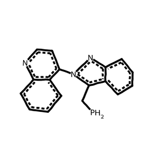 PCc1c2ccccc2nn1-c1ccnc2ccccc12